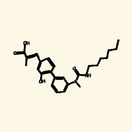 CCCCCCCNC(=O)N(C)c1cccc(-c2ccc(/C=C(\C)C(=O)O)cc2O)c1